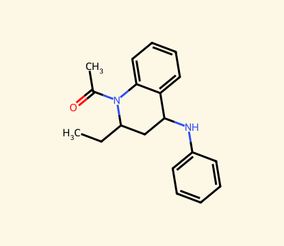 CCC1CC(Nc2ccccc2)c2ccccc2N1C(C)=O